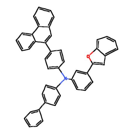 c1ccc(-c2ccc(N(c3ccc(-c4cc5ccccc5c5ccccc45)cc3)c3cccc(-c4cc5ccccc5o4)c3)cc2)cc1